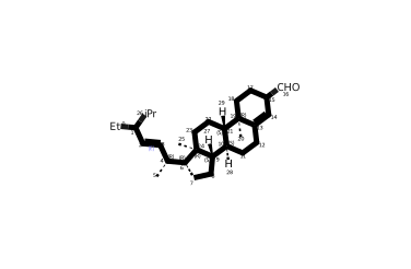 CCC(/C=C/[C@@H](C)[C@H]1CC[C@H]2[C@@H]3CCC4=CC(C=O)CC[C@]4(C)[C@H]3CC[C@]12C)C(C)C